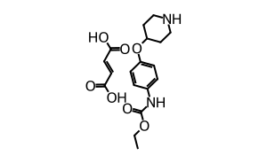 CCOC(=O)Nc1ccc(OC2CCNCC2)cc1.O=C(O)C=CC(=O)O